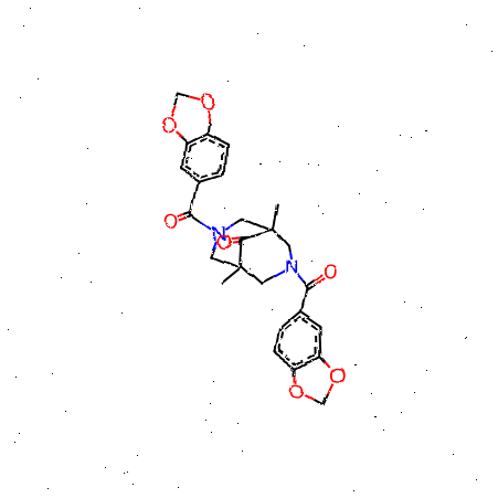 CC12CN(C(=O)c3ccc4c(c3)OCO4)CC(C)(CN(C(=O)c3ccc4c(c3)OCO4)C1)C2=O